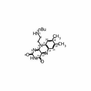 CCCCNCCn1c2nc(=O)[nH]c(=O)c-2nc2cc(C)c(C)cc21